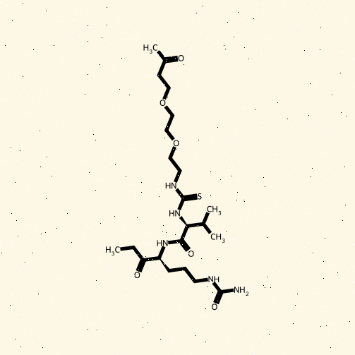 CCC(=O)[C@H](CCCNC(N)=O)NC(=O)[C@@H](NC(=S)NCCOCCOCCC(C)=O)C(C)C